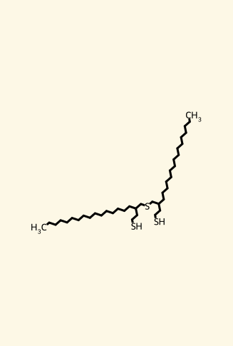 CCCCCCCCCCCCCCCCC(CCS)CSCC(CCS)CCCCCCCCCCCCCCCC